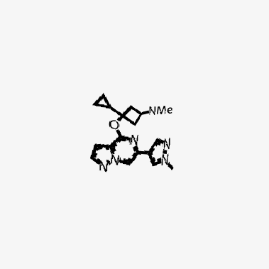 CNC1CC(Oc2nc(-c3cnn(C)c3)cn3nccc23)(C2CC2)C1